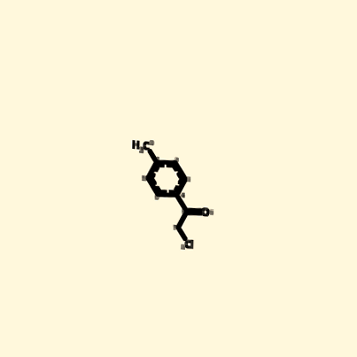 Cc1ccc(C(=O)CCl)cc1